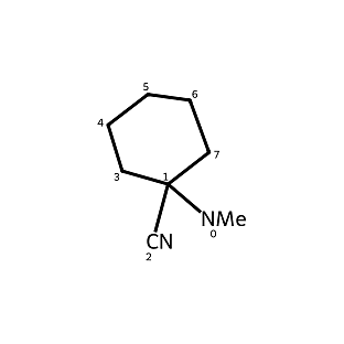 CNC1(C#N)CCCCC1